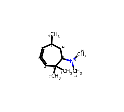 CC1C=C=CC(C)(C)C(N(C)C)C1